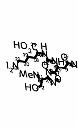 CN[C@@H](CO)c1noc([C@H](CC(N)=O)NC(=O)N[C@@H](CCCCN)C(=O)O)n1